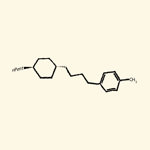 CCCCC[C@H]1CC[C@H](CCCCc2ccc(C)cc2)CC1